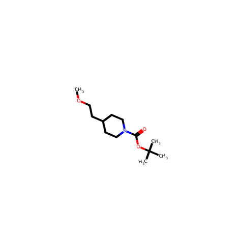 COCCC1CCN(C(=O)OC(C)(C)C)CC1